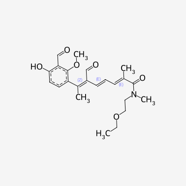 CCOCCN(C)C(=O)/C(C)=C/C=C/C(C=O)=C(\C)c1ccc(O)c(C=O)c1OC